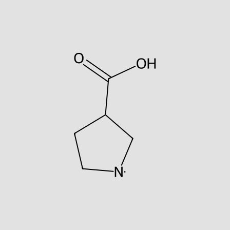 O=C(O)C1CC[N]C1